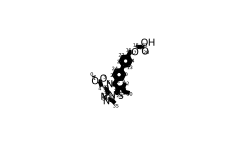 COC(=O)C[C@@H]1N=C(c2ccc(-c3ccc(COCC(=O)O)cc3)cc2)c2c(sc(C)c2C)-n2c(C)nnc21